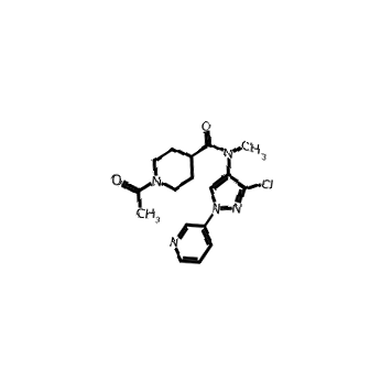 CC(=O)N1CCC(C(=O)N(C)c2cn(-c3cccnc3)nc2Cl)CC1